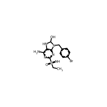 CCS(=N)(=O)c1nc(N)c2c(n1)N(Cc1ccc(Br)cc1)C(O)N2